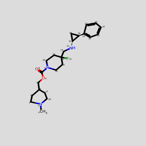 CN1CCC(COC(=O)N2CCC(F)(CN[C@@H]3C[C@H]3c3ccccc3)CC2)CC1